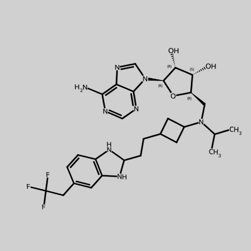 CC(C)N(C[C@H]1O[C@@H](n2cnc3c(N)ncnc32)[C@H](O)[C@@H]1O)C1CC(CCC2Nc3ccc(CC(F)(F)F)cc3N2)C1